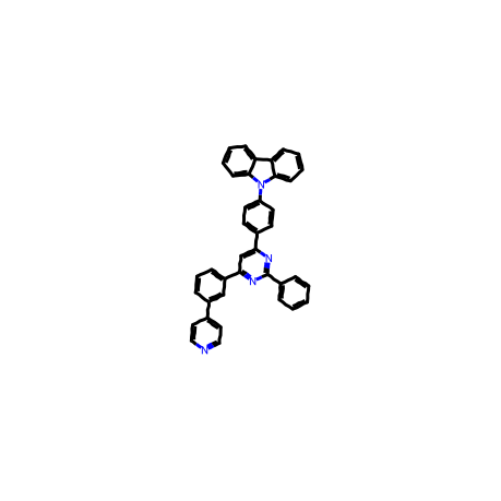 c1ccc(-c2nc(-c3ccc(-n4c5ccccc5c5ccccc54)cc3)cc(-c3cccc(-c4ccncc4)c3)n2)cc1